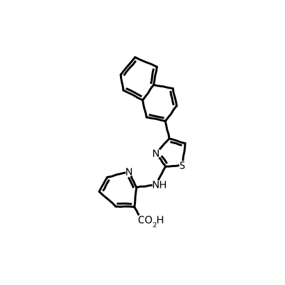 O=C(O)c1cccnc1Nc1nc(-c2ccc3ccccc3c2)cs1